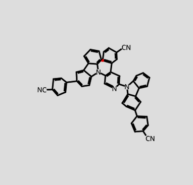 N#Cc1ccc(-c2ccc3c(c2)c2ccccc2n3-c2cc(-c3cccc(C#N)c3)c(-n3c4ccccc4c4cc(-c5ccc(C#N)cc5)ccc43)cn2)cc1